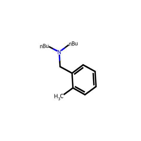 CCCCN(CCCC)Cc1ccccc1C